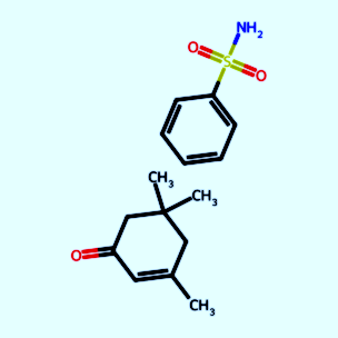 CC1=CC(=O)CC(C)(C)C1.NS(=O)(=O)c1ccccc1